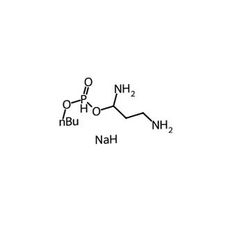 CCCCO[PH](=O)OC(N)CCN.[NaH]